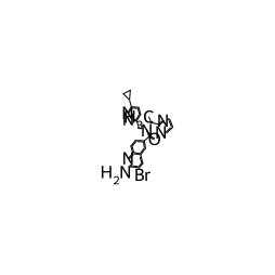 CC(c1ncccn1)N(Cc1ccc(C2CC2)nn1)C(=O)c1ccc2nc(N)c(Br)cc2c1